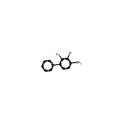 Bc1ccc(-c2ccccc2)c(Br)c1Br